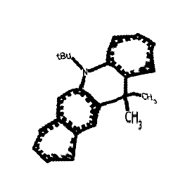 CC1(C)c2ccccc2N(C(C)(C)C)c2cc3ccccc3cc21